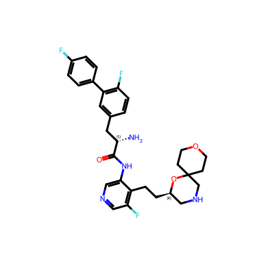 N[C@@H](Cc1ccc(F)c(-c2ccc(F)cc2)c1)C(=O)Nc1cncc(F)c1CC[C@@H]1CNCC2(CCOCC2)O1